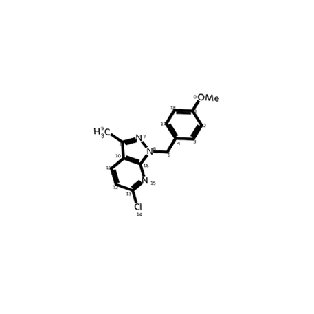 COc1ccc(Cn2nc(C)c3ccc(Cl)nc32)cc1